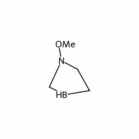 CON1CBCC1